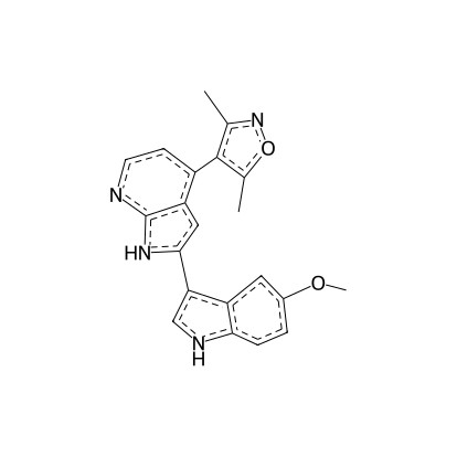 COc1ccc2[nH]cc(-c3cc4c(-c5c(C)noc5C)ccnc4[nH]3)c2c1